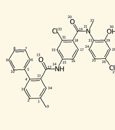 Cc1ccc(-c2ccccc2)c(C(=O)Nc2ccc(C(=O)N(C)c3ccc(Cl)cc3O)c(Cl)c2)c1